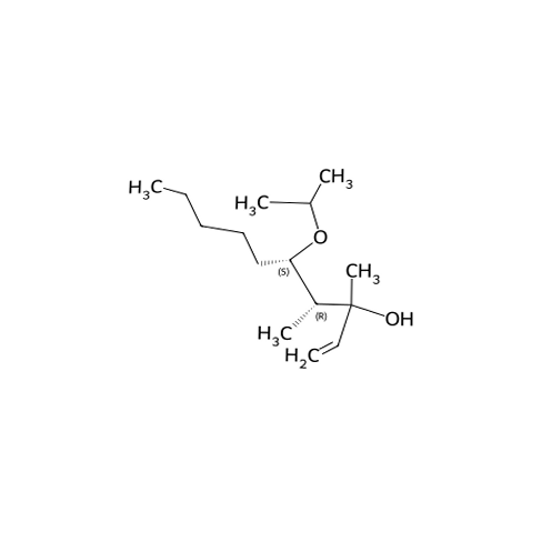 C=CC(C)(O)[C@H](C)[C@H](CCCCC)OC(C)C